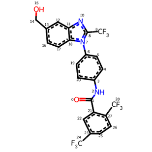 O=C(Nc1ccc(-n2c(C(F)(F)F)nc3cc(CO)ccc32)cc1)c1cc(C(F)(F)F)ccc1C(F)(F)F